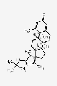 CC(=O)[C@@]1(OC(=O)NC(C)(C)C)CC[C@H]2[C@@H]3CCC4=CC(=O)C=C(C)[C@]4(C)[C@H]3CC[C@@]21C